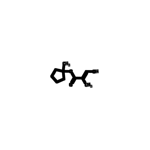 CC(=CO)C(=O)OC1(C)CCCC1